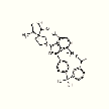 CC(C)[C@]1(C(=O)O)CC[C@@H](c2nc(-c3ccc(C(C)(O)c4cccc(C(F)F)c4)cc3)c3c(N)ncc(Cl)n23)C1